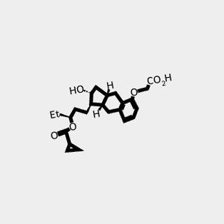 CC[C@@H](CC[C@@H]1[C@H]2Cc3cccc(OCC(=O)O)c3C[C@H]2C[C@H]1O)OC(=O)C1CC1